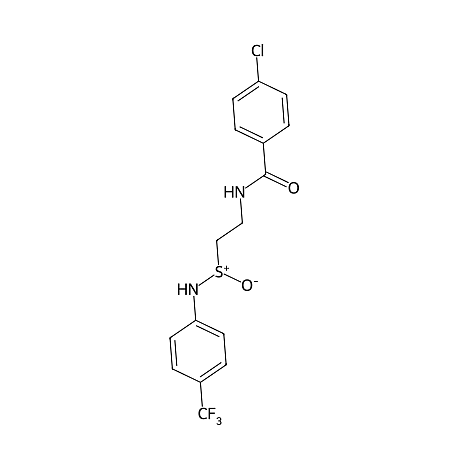 O=C(NCC[S+]([O-])Nc1ccc(C(F)(F)F)cc1)c1ccc(Cl)cc1